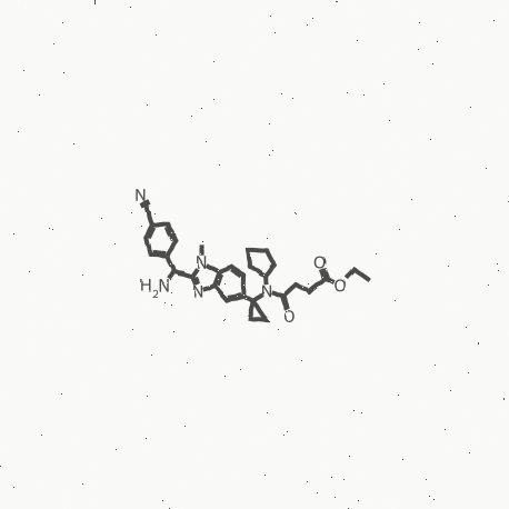 CCOC(=O)CCC(=O)N(C1CCCC1)C1(c2ccc3c(c2)nc(C(N)c2ccc(C#N)cc2)n3C)CC1